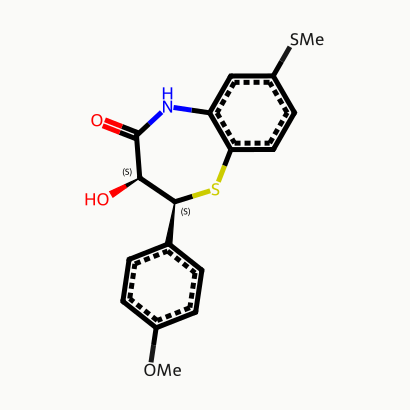 COc1ccc([C@@H]2Sc3ccc(SC)cc3NC(=O)[C@@H]2O)cc1